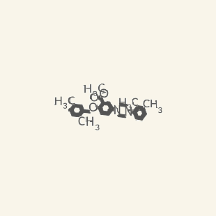 COC(=O)c1cc(N2CCN(c3cccc(C)c3C)CC2)ccc1OCc1cc(C)ccc1C